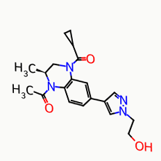 CC(=O)N1c2ccc(-c3cnn(CCO)c3)cc2N(C(=O)C2CC2)C[C@@H]1C